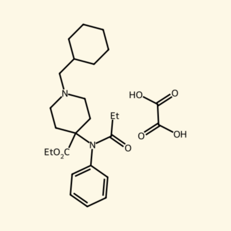 CCOC(=O)C1(N(C(=O)CC)c2ccccc2)CCN(CC2CCCCC2)CC1.O=C(O)C(=O)O